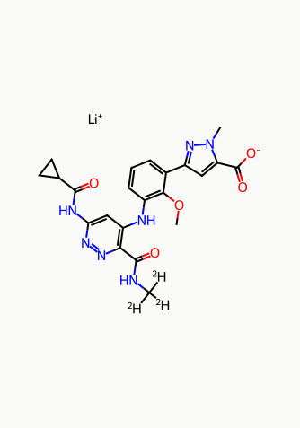 [2H]C([2H])([2H])NC(=O)c1nnc(NC(=O)C2CC2)cc1Nc1cccc(-c2cc(C(=O)[O-])n(C)n2)c1OC.[Li+]